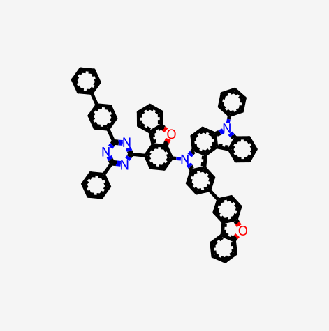 c1ccc(-c2ccc(-c3nc(-c4ccccc4)nc(-c4ccc(-n5c6ccc(-c7ccc8oc9ccccc9c8c7)cc6c6c7c8ccccc8n(-c8ccccc8)c7ccc65)c5oc6ccccc6c45)n3)cc2)cc1